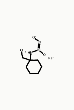 CCC1(N/[N+]([O-])=N\[O-])CCCCC1.[Na+]